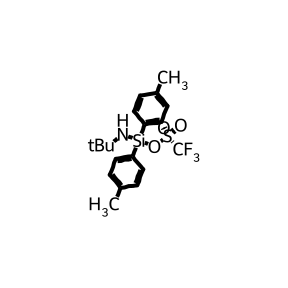 Cc1ccc([Si](NC(C)(C)C)(OS(=O)(=O)C(F)(F)F)c2ccc(C)cc2)cc1